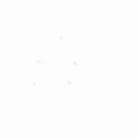 C=CCN(Cc1ccccc1)C(=O)[N+](CC=C)(Cc1ccccc1)C(=O)CC#N